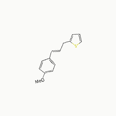 COc1ccc(/C=C/Cc2cccs2)cc1